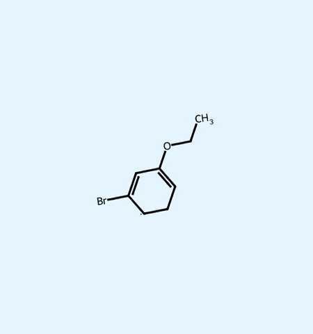 CCOC1=CC[CH]C(Br)=C1